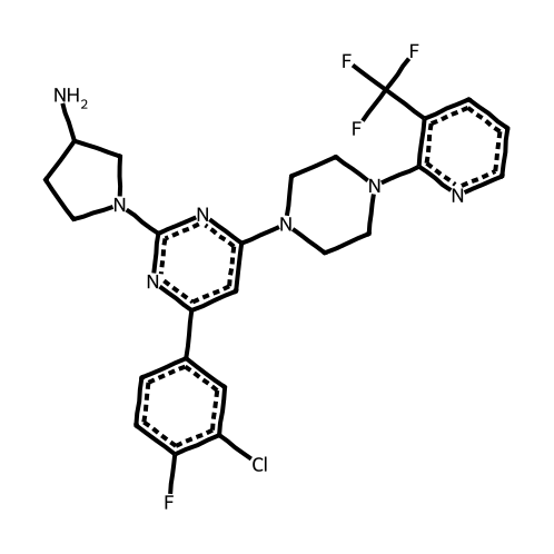 NC1CCN(c2nc(-c3ccc(F)c(Cl)c3)cc(N3CCN(c4ncccc4C(F)(F)F)CC3)n2)C1